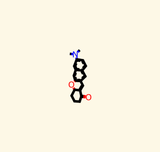 CN(C)c1ccc2cc3c(cc2c1)OC1CCCC(=O)C1=C3